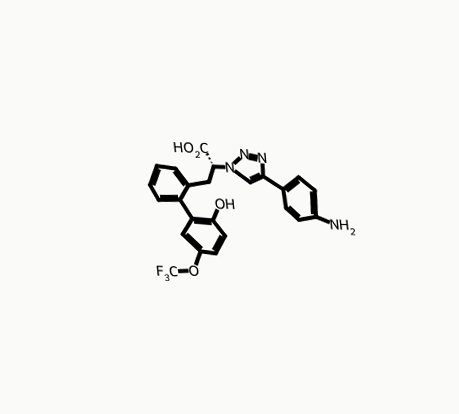 Nc1ccc(-c2cn([C@H](Cc3ccccc3-c3cc(OC(F)(F)F)ccc3O)C(=O)O)nn2)cc1